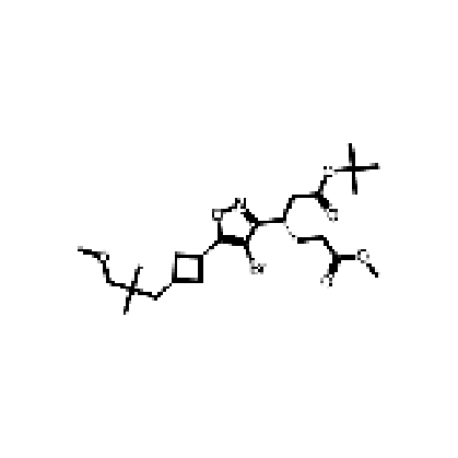 COCC(C)(C)C[C@H]1C[C@@H](c2onc([C@@H](CCC(=O)OC)CC(=O)OC(C)(C)C)c2Br)C1